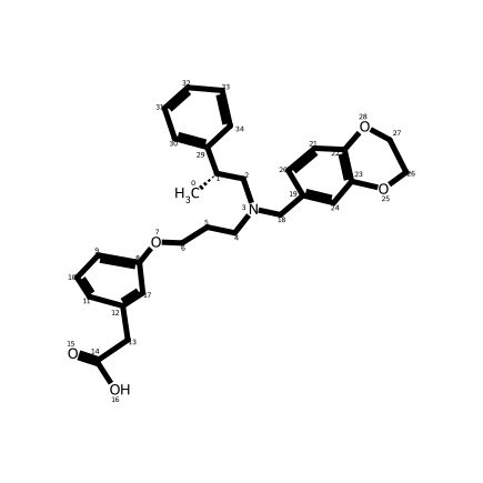 C[C@@H](CN(CCCOc1cccc(CC(=O)O)c1)Cc1ccc2c(c1)OCCO2)c1ccccc1